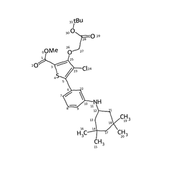 COC(=O)c1sc(-c2cccc(NC3CC(C)(C)CC(C)(C)C3)c2)c(Cl)c1OCC(=O)OC(C)(C)C